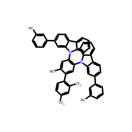 N#Cc1cccc(-c2ccc3c4ccccc4n(-c4cc(C#N)c(-c5ccc(C(F)(F)F)cc5C(F)(F)F)cc4-n4c5ccccc5c5ccc(-c6cccc(C#N)c6)cc54)c3c2)c1